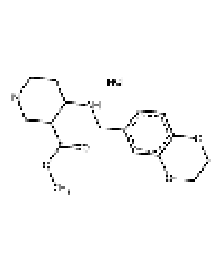 COC(=O)C1CNCCC1NCc1ccc2c(c1)OCCO2.Cl